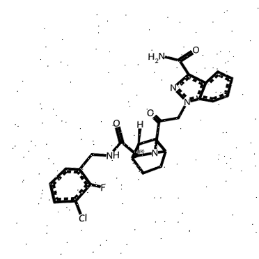 NC(=O)c1nn(CC(=O)N2C3CCC(CC3)[C@@H]2C(=O)NCc2cccc(Cl)c2F)c2ccccc12